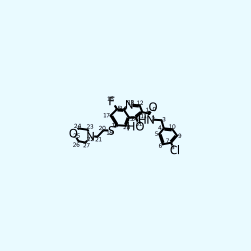 O=C(NCc1ccc(Cl)cc1)c1cnc2c(F)cc(SCCN3CCOCC3)cc2c1O